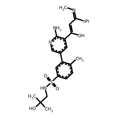 CCCC(/C=C(\O)c1cc(-c2cc(S(=O)(=O)NCC(C)(C)O)ccc2C)cnc1N)=N/C